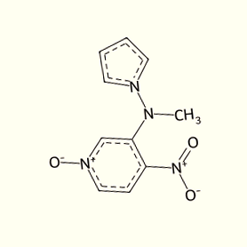 CN(c1c[n+]([O-])ccc1[N+](=O)[O-])n1cccc1